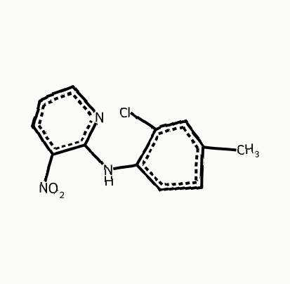 Cc1ccc(Nc2ncccc2[N+](=O)[O-])c(Cl)c1